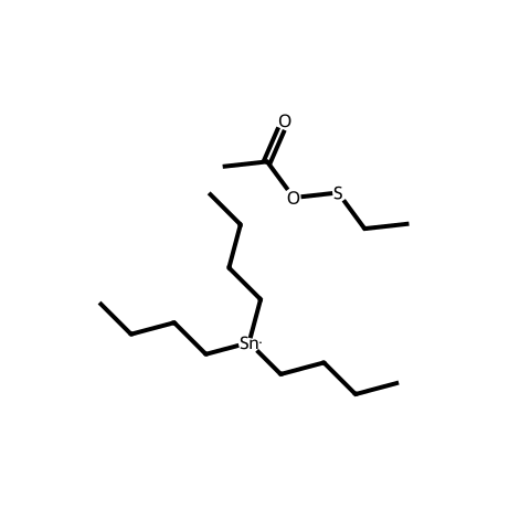 CCC[CH2][Sn]([CH2]CCC)[CH2]CCC.CCSOC(C)=O